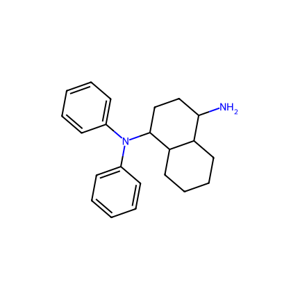 NC1CCC(N(c2ccccc2)c2ccccc2)C2CCCCC12